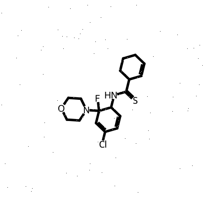 FC1(N2CCOCC2)C=C(Cl)C=CC1NC(=S)C1C=CCCC1